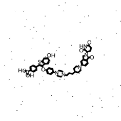 O=C1CCC(N2Cc3cc(N4CCC(CCCN5CCN(c6ccc(Oc7c(-c8ccc(B(O)O)cc8)sc8cc(O)ccc78)cc6)CC5)CC4)ccc3C2=O)C(=O)N1